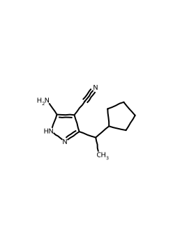 CC(c1n[nH]c(N)c1C#N)C1CCCC1